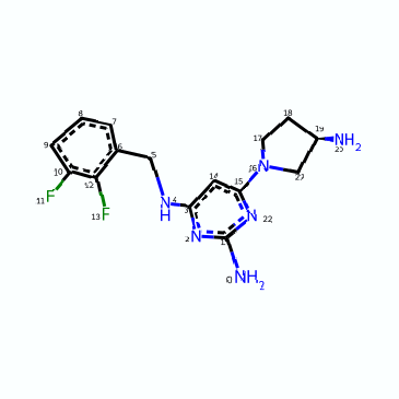 Nc1nc(NCc2cccc(F)c2F)cc(N2CC[C@@H](N)C2)n1